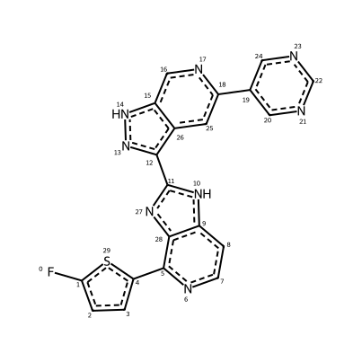 Fc1ccc(-c2nccc3[nH]c(-c4n[nH]c5cnc(-c6cncnc6)cc45)nc23)s1